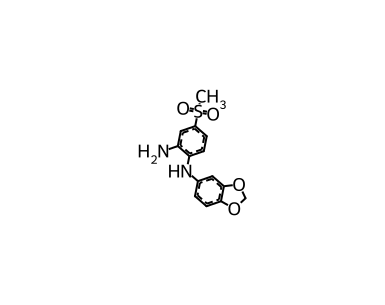 CS(=O)(=O)c1ccc(Nc2ccc3c(c2)OCO3)c(N)c1